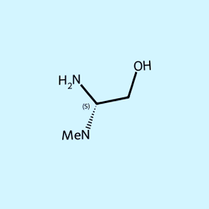 CN[C@H](N)CO